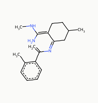 C=C(/N=C1/CC(C)CC/C1=C(/N)NC)c1ccccc1C